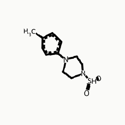 Cc1ccc(N2CCN([SH](=O)=O)CC2)cc1